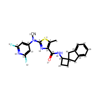 Cc1sc(N(C#N)c2cc(F)nc(F)c2)nc1C(=O)NC1CCC12Cc1ccccc1C2